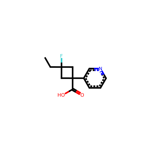 CCC1(F)CC(C(=O)O)(c2cccnc2)C1